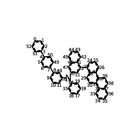 c1ccc(-c2ccc(-c3cccc(N(c4ccccc4)c4cc(-c5cccc6c5ccc5c7ccccc7ccc65)c5ccccc5c4)c3)cc2)cc1